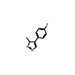 CC1N=NC=C1c1ccc(F)cc1